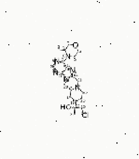 CC1COCCN1c1ncnc2c1nc(CN1CCC(C(C)(O)CCl)CC1)n2C